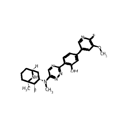 COc1cc(-c2ccc(-c3ncc(N(C)[C@H]4C[C@@H]5CCC[C@@](C)(N5)[C@H]4F)nn3)c(O)c2)cnc1F